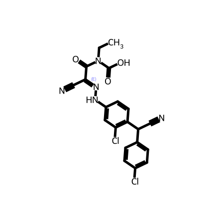 CCN(C(=O)O)C(=O)/C(C#N)=N/Nc1ccc(C(C#N)c2ccc(Cl)cc2)c(Cl)c1